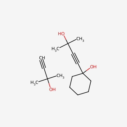 C#CC(C)(C)O.CC(C)(O)C#CC1(O)CCCCC1